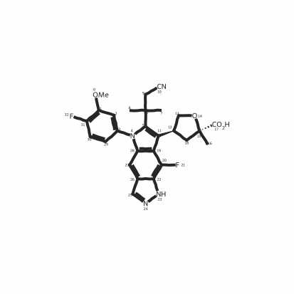 COc1cc(-n2c(C(C)(C)CC#N)c([C@H]3CO[C@](C)(C(=O)O)C3)c3c(F)c4[nH]ncc4cc32)ccc1F